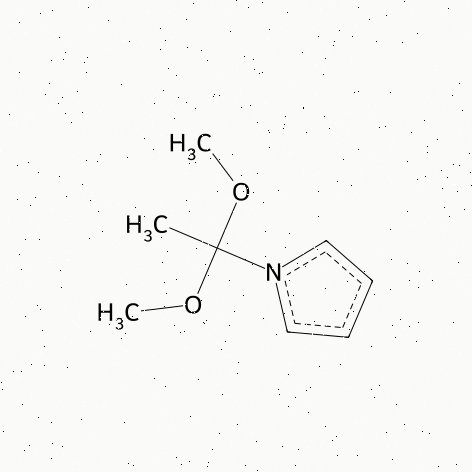 COC(C)(OC)n1cccc1